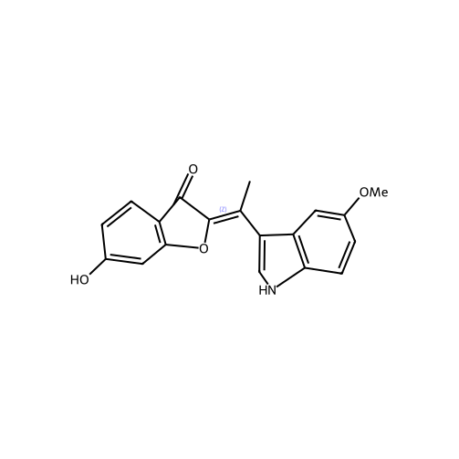 COc1ccc2[nH]cc(/C(C)=C3\Oc4cc(O)ccc4C3=O)c2c1